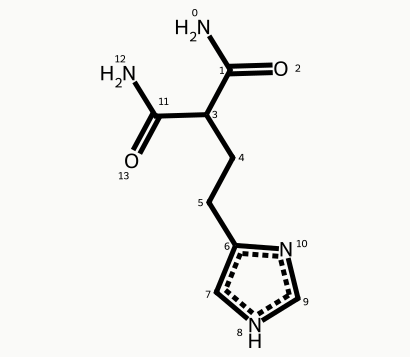 NC(=O)C(CCc1c[nH]cn1)C(N)=O